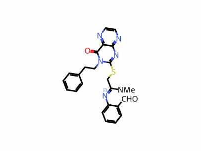 CN/C(CSc1nc2nccnc2c(=O)n1CCc1ccccc1)=N\c1ccccc1C=O